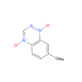 COc1ccc2c(c1)[n+]([O-])nc[n+]2[O-]